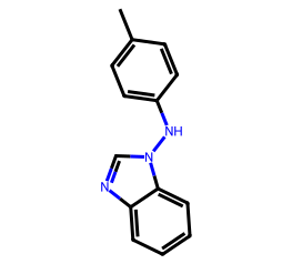 Cc1ccc(Nn2cnc3ccccc32)cc1